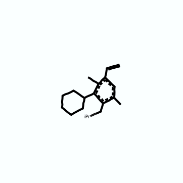 C=Cc1cc(C)c(CC(C)C)c(C2CCCCC2)c1C